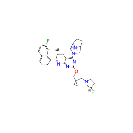 C#Cc1c(F)ccc2cccc(-c3ccc4c(N5CC6CCC(C5)N6)nc(OCC5(CN6CC[C@@H](F)C6)CC5)nc4n3)c12